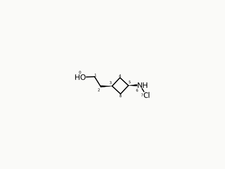 OCC[C@H]1C[C@@H](NCl)C1